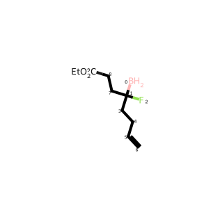 BC(F)(CCC=C)CCC(=O)OCC